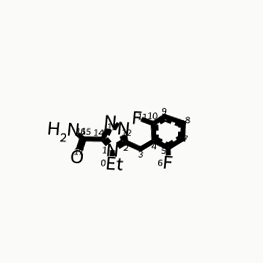 CCn1c(Cc2c(F)cccc2F)nnc1C(N)=O